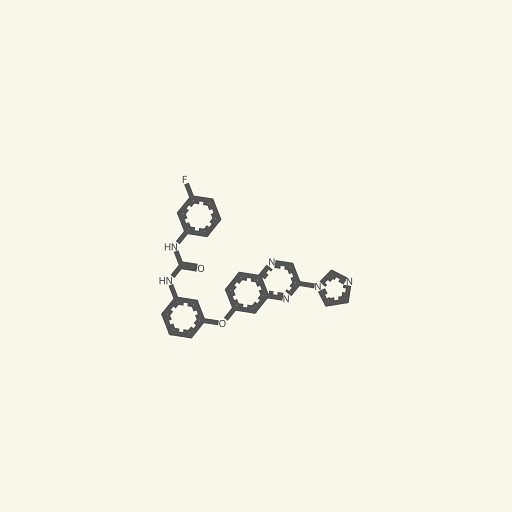 O=C(Nc1cccc(F)c1)Nc1cccc(Oc2ccc3ncc(-n4ccnc4)nc3c2)c1